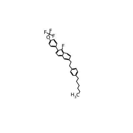 CCCCCCc1ccc(CCc2ccc3c(F)c(-c4ccc(OC(F)(F)F)cc4)ccc3c2)cc1